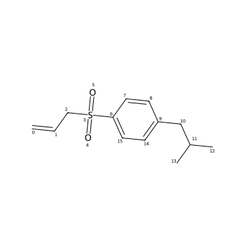 C=CCS(=O)(=O)c1ccc(CC(C)C)cc1